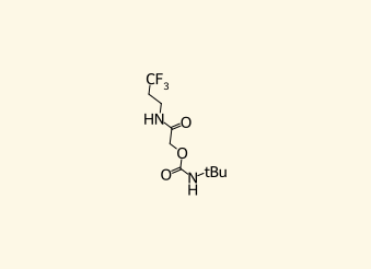 CC(C)(C)NC(=O)OCC(=O)NCCC(F)(F)F